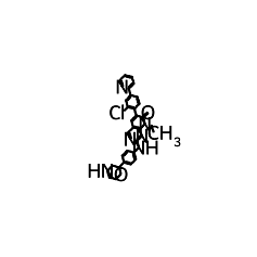 CCn1c(=O)c(-c2ccc(-c3ccccn3)cc2Cl)cc2cnc(Nc3ccc(C4CNCCO4)cc3)nc21